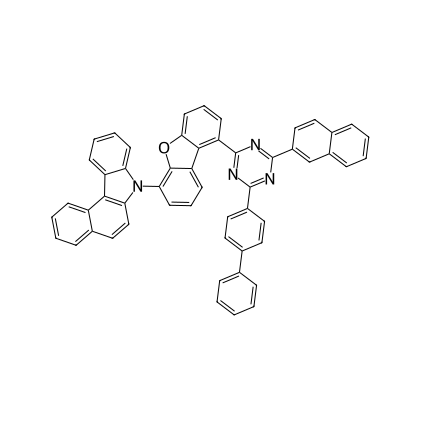 c1ccc(-c2ccc(-c3nc(-c4ccc5ccccc5c4)nc(-c4cccc5oc6c(-n7c8ccccc8c8c9ccccc9ccc87)cccc6c45)n3)cc2)cc1